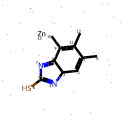 CC1=CC2N=C(S)N=C2C(C)=C1C.[Zn]